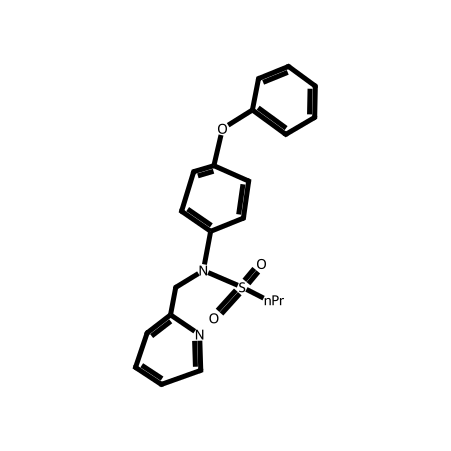 CCCS(=O)(=O)N(Cc1ccccn1)c1ccc(Oc2ccccc2)cc1